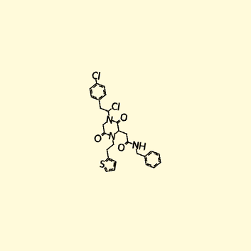 O=C(CC1C(=O)N(C(Cl)Cc2ccc(Cl)cc2)CC(=O)N1CCc1cccs1)NCc1ccccc1